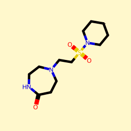 O=C1CCN(CCS(=O)(=O)N2CC[CH]CC2)CCN1